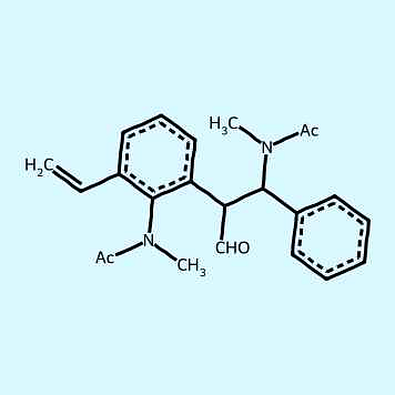 C=Cc1cccc(C(C=O)C(c2ccccc2)N(C)C(C)=O)c1N(C)C(C)=O